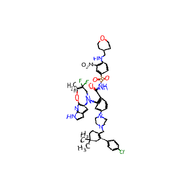 C[C@H]1Oc2nc3[nH]ccc3cc2N(c2cc(N3CCN(CC4=C(c5ccc(Cl)cc5)CC(C)(C)CC4)CC3)ccc2C(=O)NS(=O)(=O)c2ccc(NCC3CCOCC3)c([N+](=O)[O-])c2)CC1(F)F